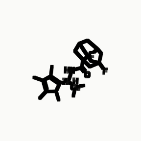 CC1=C(C)C(C)[C]([Zr]([NH]C(=O)C23CC4CC(CC(F)(C4)C2)C3)[GeH]([CH3])[CH3])=C1C